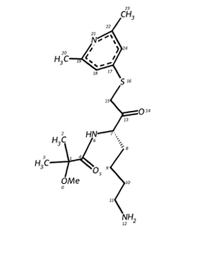 COC(C)(C)C(=O)N[C@@H](CCCCN)C(=O)CSc1cc(C)nc(C)c1